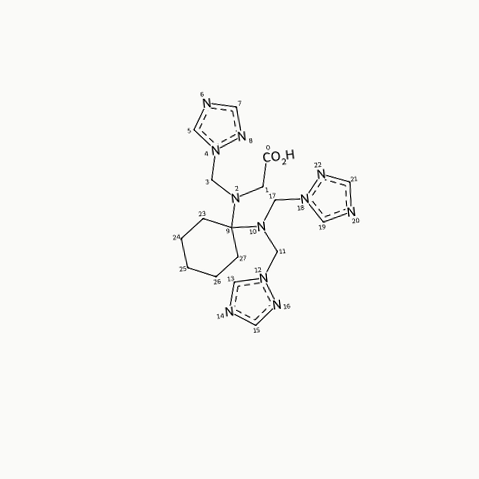 O=C(O)CN(Cn1cncn1)C1(N(Cn2cncn2)Cn2cncn2)CCCCC1